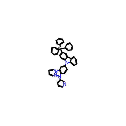 C1=CN2c3cc(-n4c5ccccc5c5cc([Si](c6ccccc6)(c6ccccc6)c6ccccc6)ccc54)ccc3N(c3cccnc3)N2C=C1